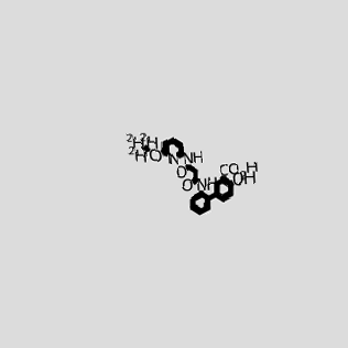 [2H]C([2H])([2H])Oc1cccc(NC(=O)CC(=O)Nc2ccccc2-c2ccc(O)c(C(=O)O)c2)n1